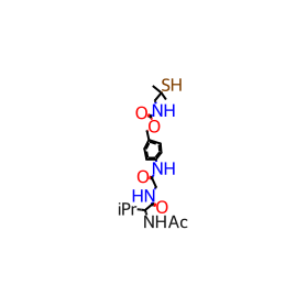 CC(=O)NC(C(=O)NCC(=O)Nc1ccc(COC(=O)NCC(C)(C)S)cc1)C(C)C